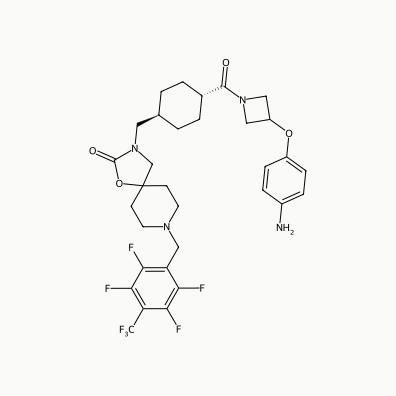 Nc1ccc(OC2CN(C(=O)[C@H]3CC[C@H](CN4CC5(CCN(Cc6c(F)c(F)c(C(F)(F)F)c(F)c6F)CC5)OC4=O)CC3)C2)cc1